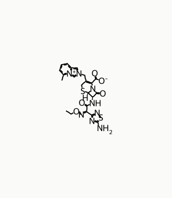 CCO/N=C(\C(=O)N[C@@H]1C(=O)N2C(C(=O)[O-])=C(Cn3cc4cccc(C)[n+]4c3)CS[C@@H]12)c1nsc(N)n1